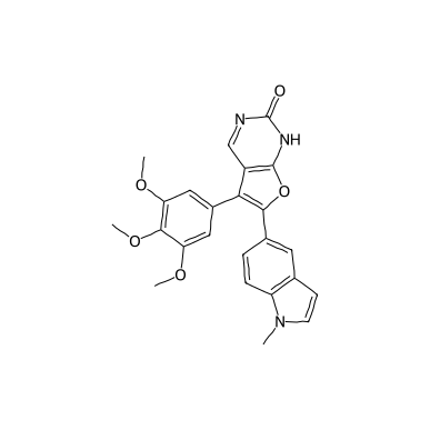 COc1cc(-c2c(-c3ccc4c(ccn4C)c3)oc3[nH]c(=O)ncc23)cc(OC)c1OC